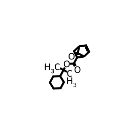 CC(C)(OC(=O)C1CC2C=CC1C2=O)C1CCCCC1